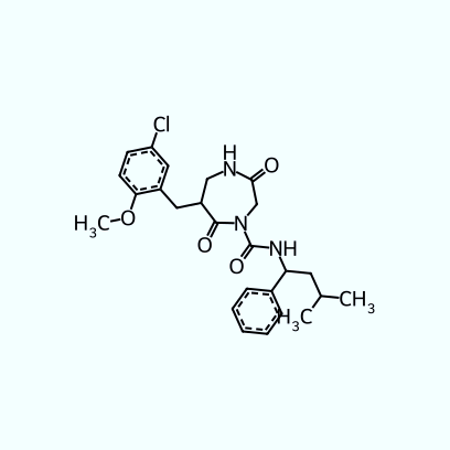 COc1ccc(Cl)cc1CC1CNC(=O)CN(C(=O)NC(CC(C)C)c2ccccc2)C1=O